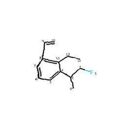 [CH2]C(CF)c1cccc(C=C)c1CC